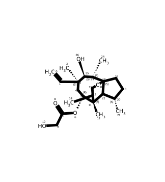 C=C[C@]1(C)C[C@@H](OC(=O)CO)[C@]2(C)C(C)CC[C@]3(CC[C@H](C)C32)[C@@H](C)[C@@H]1O